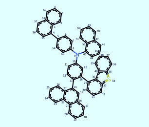 c1ccc2c(-c3ccc(N(c4ccc(-c5cc6ccccc6c6ccccc56)c(-c5cccc6sc7ccccc7c56)c4)c4cccc5ccccc45)cc3)cccc2c1